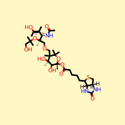 CC(=O)N[C@@H](/C(C)=C(\C)O)[C@@](C)(COCC1(C)C(C)(C)O[C@](C)(OC(=O)CCCCC2SC[C@@H]3NC(=O)N[C@H]23)C(O)[C@@]1(C)O)OC(C)(C)CO